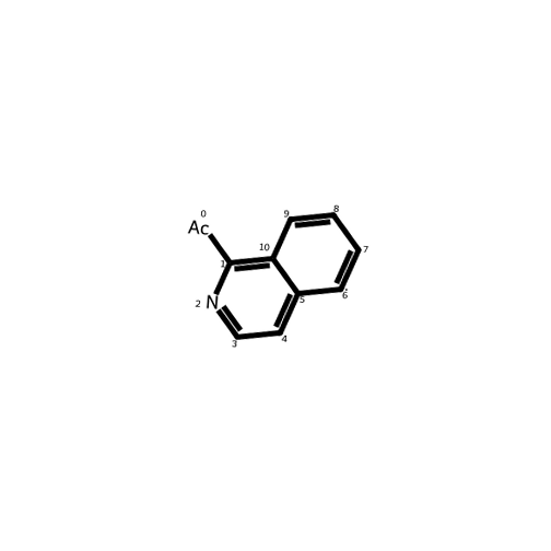 CC(=O)c1nccc2[c]cccc12